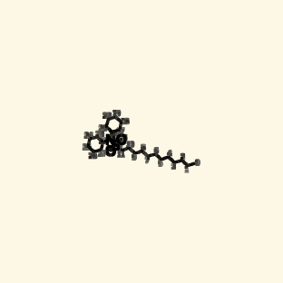 CCCCCCCCCCCCS(=O)(=O)N(C1CCCCC1)C1CCCCC1